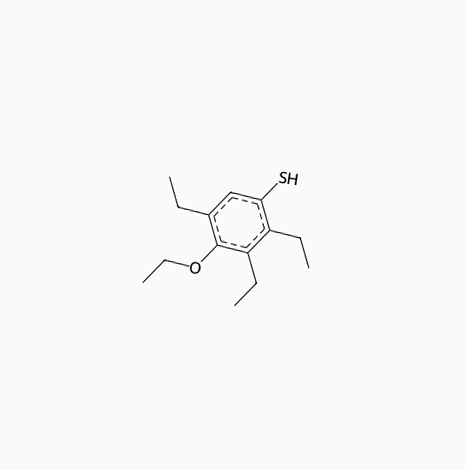 CCOc1c(CC)cc(S)c(CC)c1CC